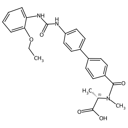 CCOc1ccccc1NC(=O)Nc1ccc(-c2ccc(C(=O)N(C)[C@@H](C)C(=O)O)cc2)cc1